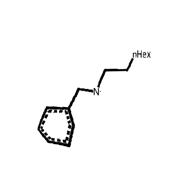 CCCCCCCC[N]Cc1ccccc1